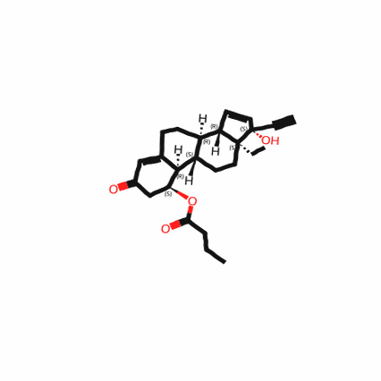 C#C[C@]1(O)C=C[C@H]2[C@@H]3CCC4=CC(=O)C[C@H](OC(=O)CCC)[C@@H]4[C@H]3CC[C@@]21CC